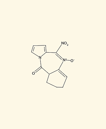 O=C1C2CCCC=C2[N+]([O-])=C([N+](=O)[O-])c2cccn21